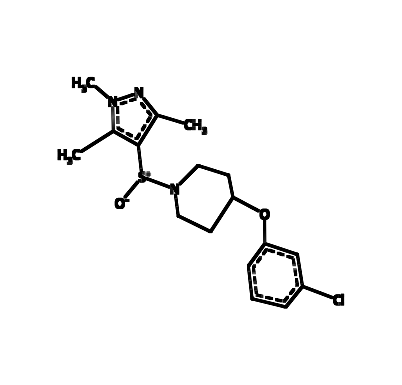 Cc1nn(C)c(C)c1[S+]([O-])N1CCC(Oc2cccc(Cl)c2)CC1